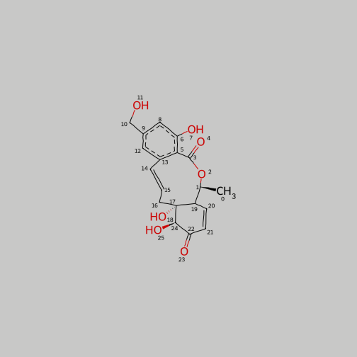 C[C@@H]1OC(=O)c2c(O)cc(CO)cc2/C=C/C[C@@]2(O)C1C=CC(=O)[C@H]2O